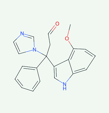 COc1cccc2[nH]cc(C(CC=O)(c3ccccc3)n3ccnc3)c12